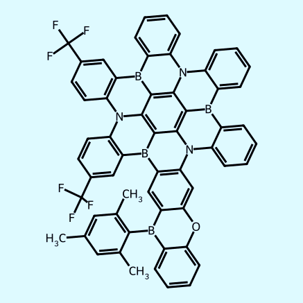 Cc1cc(C)c(B2c3ccccc3Oc3cc4c(cc32)B2c3cc(C(F)(F)F)ccc3N3c5ccc(C(F)(F)F)cc5B5c6ccccc6N6c7ccccc7B7c8ccccc8N4c4c7c6c5c3c42)c(C)c1